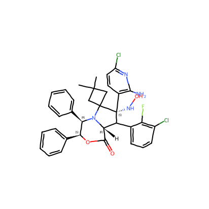 CC1(C)CC2(C1)N1[C@H](c3ccccc3)[C@H](c3ccccc3)OC(=O)[C@H]1C(c1cccc(Cl)c1F)[C@]2(NO)c1ccc(Cl)nc1N